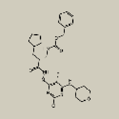 O=C(NC[C@@H](CC1CCCC1)C(=O)NNc1nc(Cl)nc(NC2CCOCC2)c1F)OCc1ccccc1